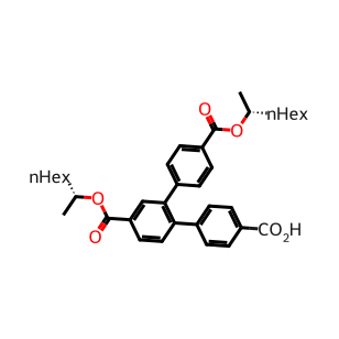 CCCCCC[C@@H](C)OC(=O)c1ccc(-c2cc(C(=O)O[C@H](C)CCCCCC)ccc2-c2ccc(C(=O)O)cc2)cc1